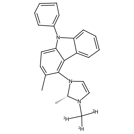 [2H]C([2H])([2H])N1C=CN(c2c(C)ccc3c2c2ccccc2n3-c2ccccc2)[C@H]1C